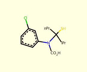 CCCC(S)(C(C)C)N(C(=O)O)c1cccc(Cl)c1